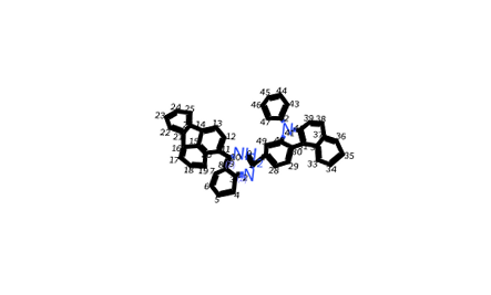 C=C(/N=C1/C=CC=C/C1=C(/N)c1ccc2c3c(cccc13)-c1ccccc1-2)c1ccc2c3c4ccccc4ccc3n(-c3ccccc3)c2c1